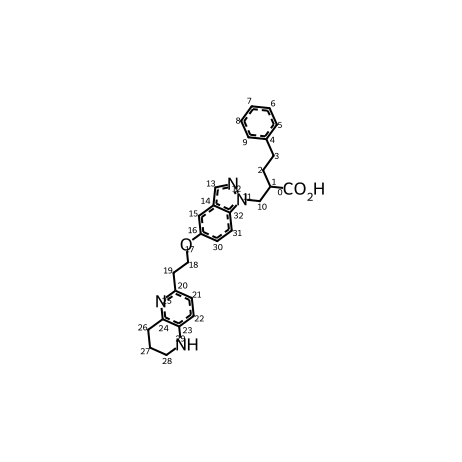 O=C(O)C(CCc1ccccc1)Cn1ncc2cc(OCCc3ccc4c(n3)CCCN4)ccc21